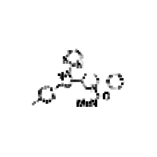 CNC(=O)N1CC(c2cc(-c3ccc(C)cc3)nn2-c2ncccn2)CCC1c1ccccc1